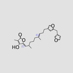 CC1=C(O)/C(=C/C(C)CCC/C(C)=C/CCc2coc(Cc3ccoc3)c2)OC1=O